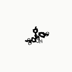 CCOC(=O)C1CCC(O)(c2cc(-c3ccc(C)cc3)n(-c3ccc(OC)cc3)n2)CC1